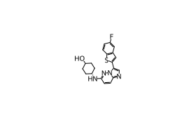 O[C@H]1CC[C@H](Nc2ccc3ncc(-c4cc5cc(F)ccc5s4)n3n2)CC1